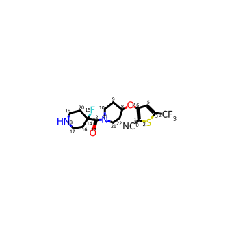 N#Cc1sc(C(F)(F)F)cc1OC1CCN(C(=O)C2(F)CCNCC2)CC1